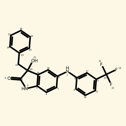 O=C1Nc2ccc(Nc3cccc(C(F)(F)F)c3)cc2C1(O)Cc1ccccc1